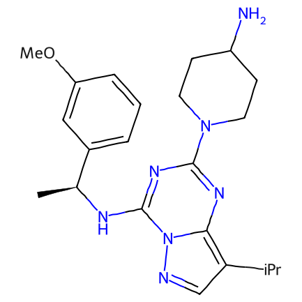 COc1cccc([C@H](C)Nc2nc(N3CCC(N)CC3)nc3c(C(C)C)cnn23)c1